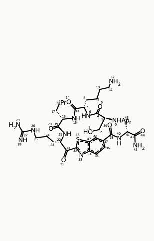 CC(=O)N[C@@H](CO)C(=O)N[C@@H](CCCCN)C(=O)N[C@@H](CC(C)C)C(=O)N[C@@H](CCCNC(=N)N)C(=O)c1nc2ccc(C(=O)N[C@@H](C(N)=O)C(C)C)cc2s1